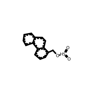 O=[SH](=O)O[CH]c1cccc2c1ccc1ccccc12